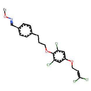 CCO/N=C/c1ccc(CCCOc2c(Cl)cc(OCC=C(Cl)Cl)cc2Cl)cc1